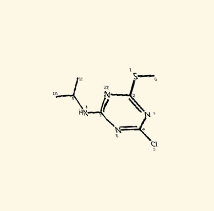 CSc1nc(Cl)nc(NC(C)C)n1